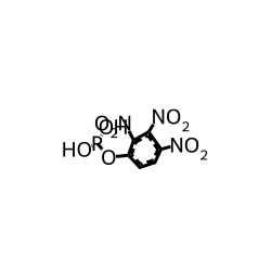 O=[N+]([O-])c1ccc(OP(O)O)c([N+](=O)[O-])c1[N+](=O)[O-]